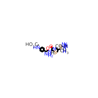 CC(Sc1nnn[nH]1)C1=C(C(=O)O)N2C(=O)C(NC(=O)C(N)c3ccc(NCC(=O)O)cc3)[C@@H]2SC1